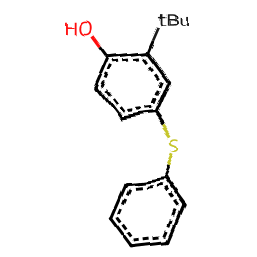 CC(C)(C)c1cc(Sc2ccccc2)ccc1O